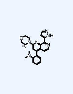 C[C@@H]1COCCN1c1cc(-c2ccccc2N(C)C)c2ccnc(-c3ccn[nH]3)c2n1